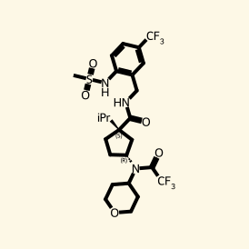 CC(C)[C@]1(C(=O)NCc2cc(C(F)(F)F)ccc2NS(C)(=O)=O)CC[C@@H](N(C(=O)C(F)(F)F)C2CCOCC2)C1